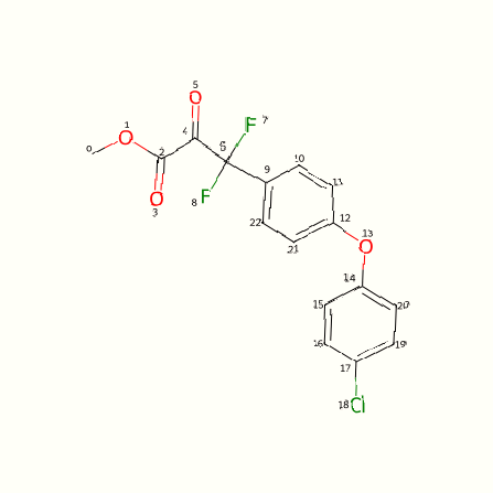 COC(=O)C(=O)C(F)(F)c1ccc(Oc2ccc(Cl)cc2)cc1